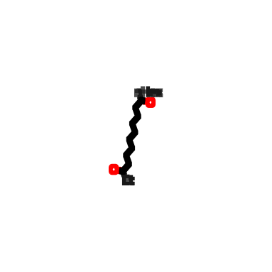 CCCCCCC(=O)CCCCCCCCC(=O)CC